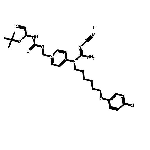 CC(C)(C)OC(C=O)NC(=O)OC[n+]1ccc(N(CCCCCCOc2ccc(Cl)cc2)C(N)=NC#N)cc1.[I-]